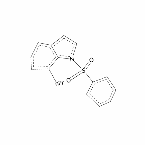 CCCc1cccc2ccn(S(=O)(=O)c3ccccc3)c12